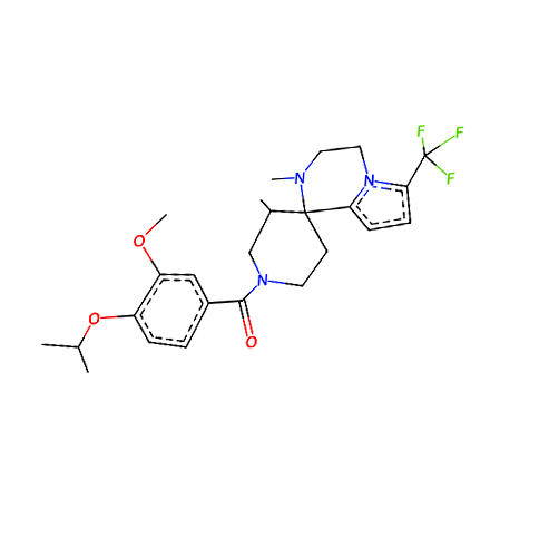 COc1cc(C(=O)N2CCC3(c4ccc(C(F)(F)F)n4CCN3C)C(C)C2)ccc1OC(C)C